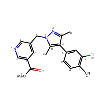 COC(=O)c1cncc(Cn2nc(C)c(-c3ccc(C#N)c(Cl)c3)c2C)c1